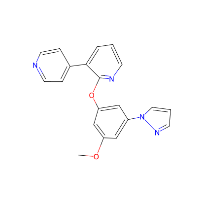 COc1cc(Oc2ncccc2-c2ccncc2)cc(-n2cccn2)c1